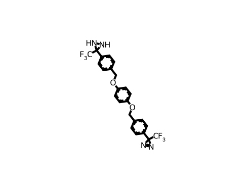 FC(F)(F)C1(c2ccc(COc3ccc(OCc4ccc(C5(C(F)(F)F)NN5)cc4)cc3)cc2)N=N1